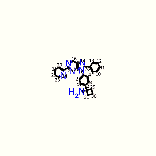 NC1(c2ccc(-n3c(-c4ccccc4)nc4cnc(-c5ccccn5)nc43)cc2)CCC1